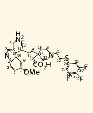 COc1ccc2ncc(CN)c(C(F)CCC3(CC(=O)O)CCN(CCSc4cc(F)c(F)c(F)c4)CC3)c2c1